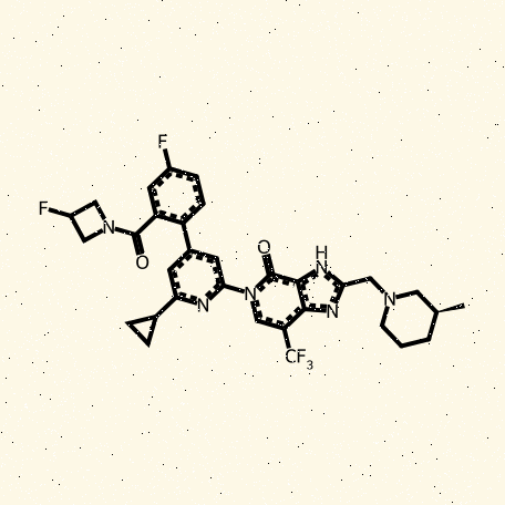 C[C@H]1CCCN(Cc2nc3c(C(F)(F)F)cn(-c4cc(-c5ccc(F)cc5C(=O)N5CC(F)C5)cc(C5CC5)n4)c(=O)c3[nH]2)C1